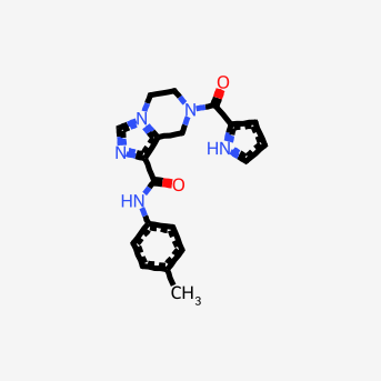 Cc1ccc(NC(=O)c2ncn3c2CN(C(=O)c2ccc[nH]2)CC3)cc1